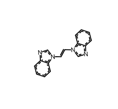 C(=Cn1cnc2ccccc21)n1cnc2ccccc21